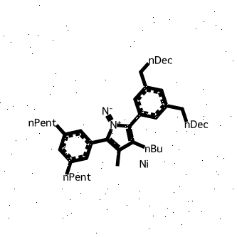 CCCCCCCCCCCc1cc(CCCCCCCCCCC)cc(C2=C(CCCC)C(C)=C(c3cc(CCCCC)cc(CCCCC)c3)[N+]2=[N-])c1.[Ni]